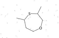 CC1CCOCC(C)S1